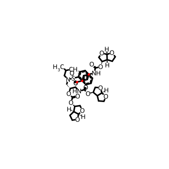 CC(C)CN(C[C@@H](OC(=O)O[C@H]1CO[C@H]2OCC[C@H]21)[C@H](Cc1ccccc1)NC(=O)O[C@H]1CO[C@H]2OCCC21)S(=O)(=O)c1ccc(NC(=O)O[C@@H]2CO[C@@H]3OCC[C@@H]32)cc1